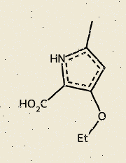 CCOc1cc(C)[nH]c1C(=O)O